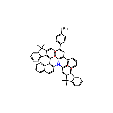 CC(C)(C)c1ccc(-c2ccc(N(c3ccc4c(c3)C(C)(C)c3ccccc3-4)c3ccc4ccccc4c3-c3cccc4c3-c3ccccc3C4(C)C)c(-c3ccccc3)c2)cc1